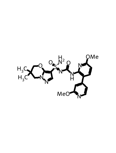 COc1cc(-c2ccc(OC)nc2NC(=O)N=[S@](N)(=O)c2cnn3c2OCC(C)(C)C3)ccn1